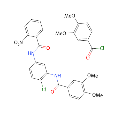 COc1ccc(C(=O)Cl)cc1OC.COc1ccc(C(=O)Nc2cc(NC(=O)c3ccccc3[N+](=O)[O-])ccc2Cl)cc1OC